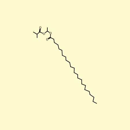 CCCCCCCCCCCCCCCCCCCCCCCC(=O)OC(C)OC(=O)C(C)C